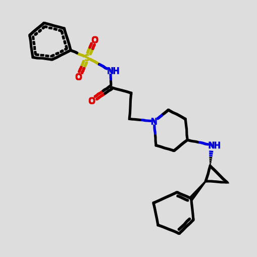 O=C(CCN1CCC(N[C@@H]2C[C@H]2C2=CCCC=C2)CC1)NS(=O)(=O)c1ccccc1